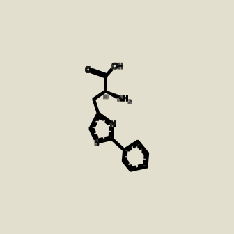 N[C@@H](Cc1csc(-c2ccccc2)n1)C(=O)O